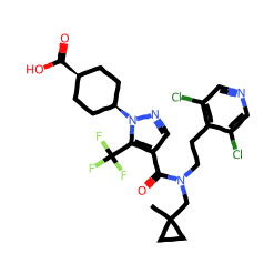 CC1(CN(CCc2c(Cl)cncc2Cl)C(=O)c2cnn([C@H]3CC[C@@H](C(=O)O)CC3)c2C(F)(F)F)CC1